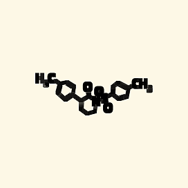 Cc1ccc(C2=CCCN(S(=O)(=O)c3ccc(C)cc3)C2=O)cc1